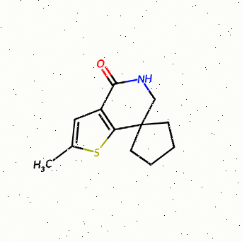 Cc1cc2c(s1)C1(CCCC1)CNC2=O